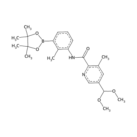 COC(OC)c1cnc(C(=O)Nc2cccc(B3OC(C)(C)C(C)(C)O3)c2C)c(C)c1